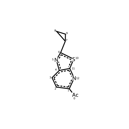 CC(=O)c1ccc2nc(C3CC3)sc2n1